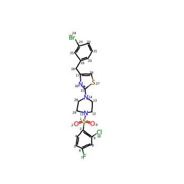 O=S(=O)(c1ccc(F)cc1Cl)N1CCN(c2nc(Cc3cccc(Br)c3)cs2)CC1